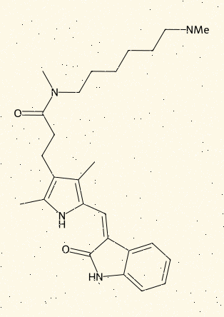 CNCCCCCCN(C)C(=O)CCc1c(C)[nH]c(C=C2C(=O)Nc3ccccc32)c1C